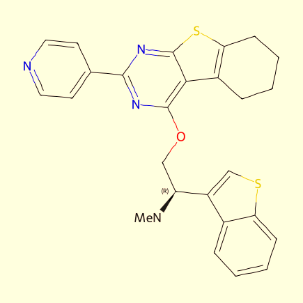 CN[C@@H](COc1nc(-c2ccncc2)nc2sc3c(c12)CCCC3)c1csc2ccccc12